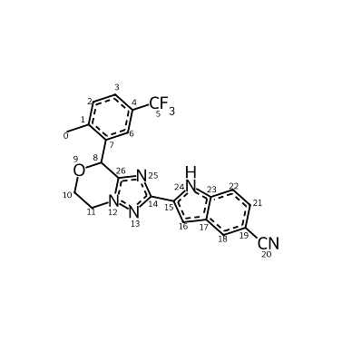 Cc1ccc(C(F)(F)F)cc1C1OCCn2nc(-c3cc4cc(C#N)ccc4[nH]3)nc21